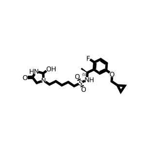 C[C@H](NS(=O)(=O)CCCCCN1CC(=O)NC1O)c1cc(OCC2CC2)ccc1F